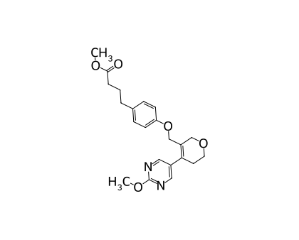 COC(=O)CCCc1ccc(OCC2=C(c3cnc(OC)nc3)CCOC2)cc1